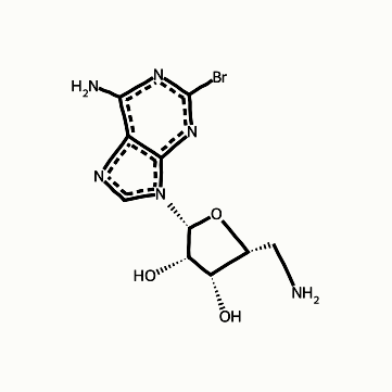 NC[C@H]1O[C@@H](n2cnc3c(N)nc(Br)nc32)[C@@H](O)[C@H]1O